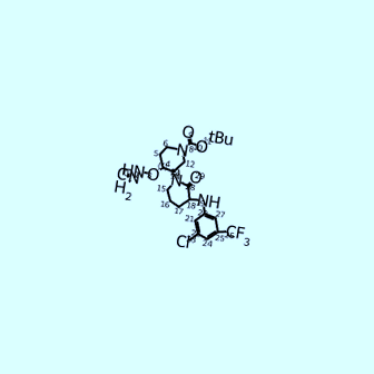 C=NNO[C@H]1CCN(C(=O)OC(C)(C)C)C[C@@H]1N1CCCC(Nc2cc(Cl)cc(C(F)(F)F)c2)C1=O